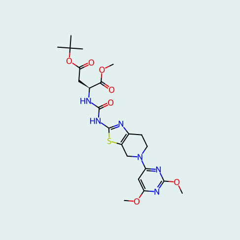 COC(=O)[C@H](CC(=O)OC(C)(C)C)NC(=O)Nc1nc2c(s1)CN(c1cc(OC)nc(OC)n1)CC2